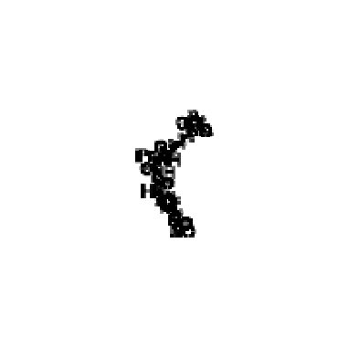 CC(C)C(NC(=O)CCCCCN1C(=O)C=CC1=O)C(=O)NCC(=O)Nc1ccc(COC(=O)N=O)cc1